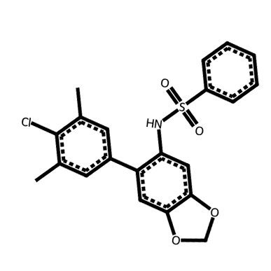 Cc1cc(-c2cc3c(cc2NS(=O)(=O)c2ccccc2)OCO3)cc(C)c1Cl